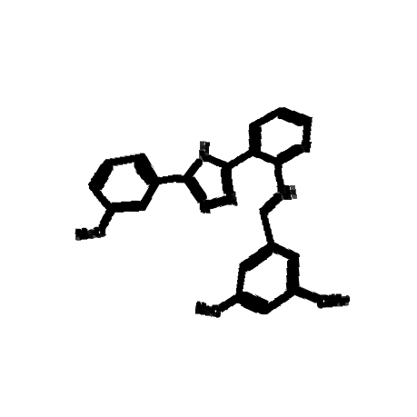 COc1cc(CNc2ncccc2-c2nnc(-c3cccc(OC)c3)[nH]2)cc(OC)c1